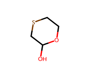 OC1CSCCO1